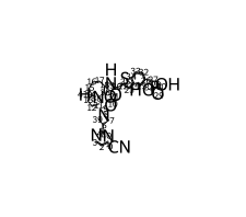 N#Cc1ccnc(C2CN(C(=O)[C@@H]3CC[C@@H]4CCC[C@H](NC(=O)c5cc6cc(CP(=O)(O)O)ccc6s5)C(=O)N43)C2)n1